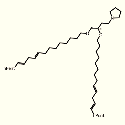 CCCCCC=CCC=CCCCCCCCCOC[C@@H](CCN1CCCC1)OCCCCCCCCC=CCC=CCCCCC